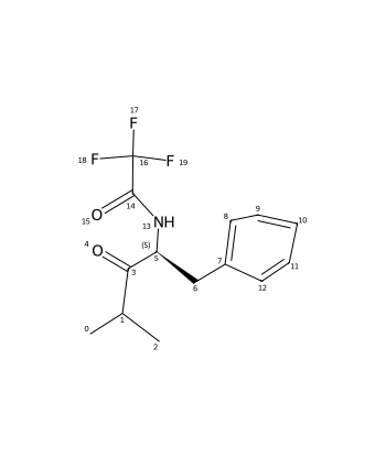 CC(C)C(=O)[C@H](Cc1ccccc1)NC(=O)C(F)(F)F